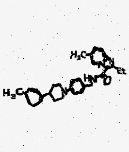 CCc1nc2ccc(C)cn2c1C(=O)NCc1ccc(N2CCC(C3=CCC=C(C)C=C3)CC2)cc1